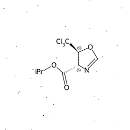 CC(C)OC(=O)[C@H]1N=CO[C@@H]1C(Cl)(Cl)Cl